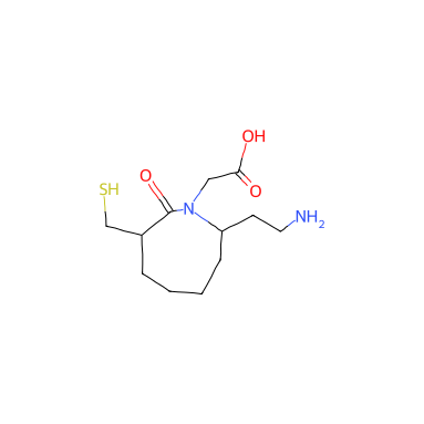 NCCC1CCCCC(CS)C(=O)N1CC(=O)O